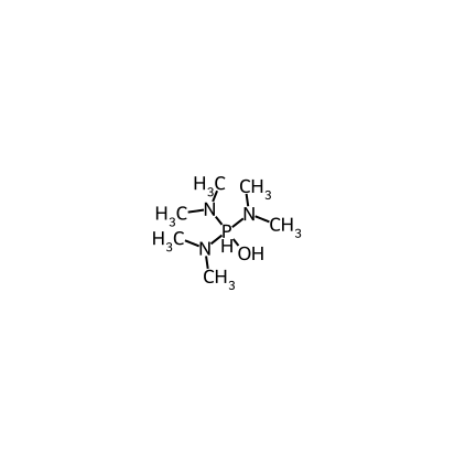 CN(C)[PH](O)(N(C)C)N(C)C